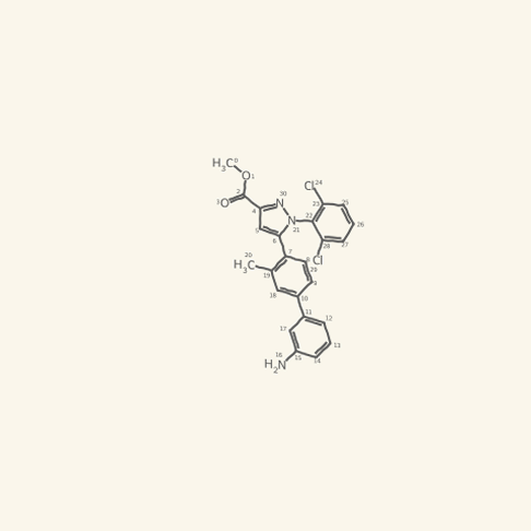 COC(=O)c1cc(-c2ccc(-c3cccc(N)c3)cc2C)n(-c2c(Cl)cccc2Cl)n1